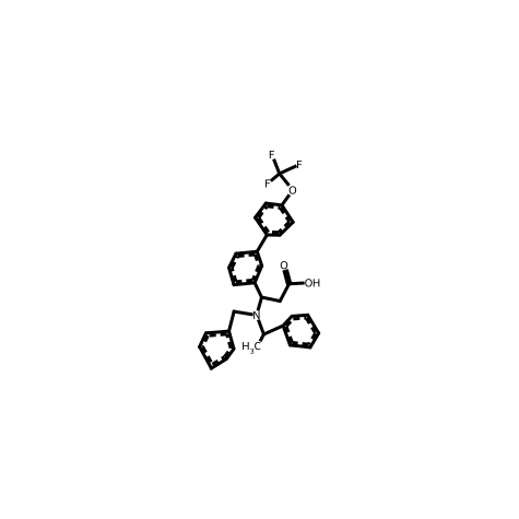 CC(c1ccccc1)N(Cc1ccccc1)C(CC(=O)O)c1cccc(-c2ccc(OC(F)(F)F)cc2)c1